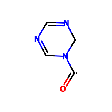 O=[C]N1C=NC=NC1